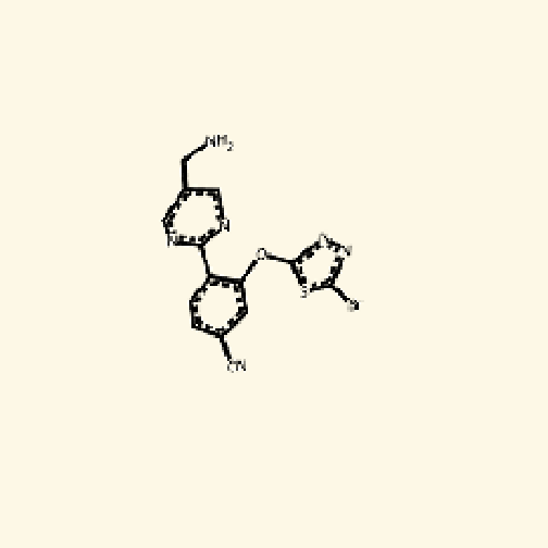 N#Cc1ccc(-c2ncc(CN)cn2)c(Oc2nnc(Br)s2)c1